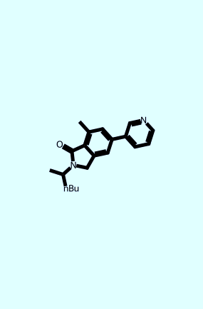 CCCCC(C)N1Cc2cc(-c3cccnc3)cc(C)c2C1=O